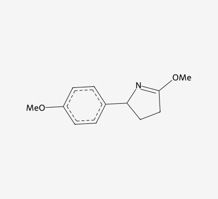 COC1=NC(c2ccc(OC)cc2)CC1